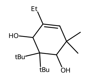 CCC1=CC(C)(C)C(O)C(C(C)(C)C)(C(C)(C)C)C1O